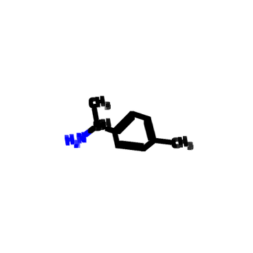 Cc1ccc([SiH](C)N)cc1